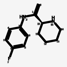 C=C(Nc1ccc(F)cc1)[C@@H]1CCCCN1